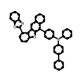 c1ccc(-c2ccc(N(c3ccccc3)c3ccc(-c4c5ccccc5cc5c4oc4cccc(-c6nc7ccccc7o6)c45)cc3)cc2)cc1